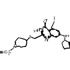 O=C(O)N1CCC(SCc2nc3cc(NC4CCCC4)cc(F)c3c(=O)[nH]2)CC1